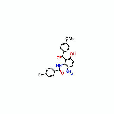 CCc1ccc(C(=O)Nc2c(N)ccc(O)c2C(=O)c2ccc(OC)cc2)cc1